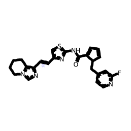 O=C(Nc1nc(/C=C/c2ncn3c2CCCC3)cs1)C1=CC=CC1Cc1ccnc(F)c1